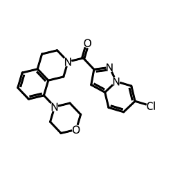 O=C(c1cc2ccc(Cl)cn2n1)N1CCc2cccc(N3CCOCC3)c2C1